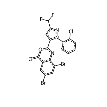 O=c1oc(-c2cc(C(F)F)nn2-c2ncccc2Cl)nc2c(Br)cc(Br)cc12